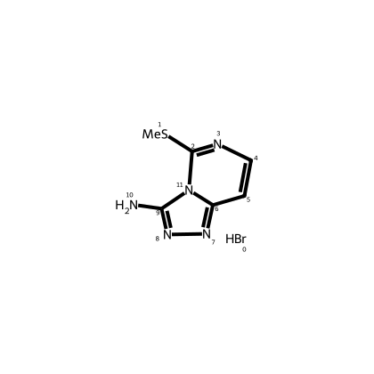 Br.CSc1nccc2nnc(N)n12